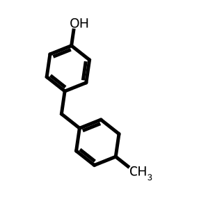 CC1C=CC(Cc2ccc(O)cc2)=CC1